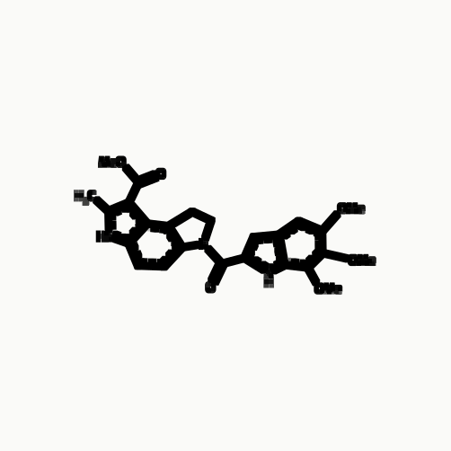 COC(=O)c1c(C)[nH]c2ccc3c(c12)CCN3C(=O)c1cc2cc(OC)c(OC)c(OC)c2[nH]1